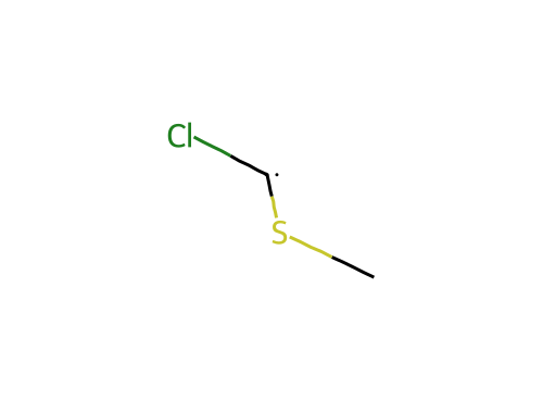 CS[CH]Cl